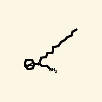 CCCCCCCCCCCCN(CCN)C12CCC(CC1)CC2